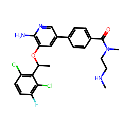 CNCCN(C)C(=O)c1ccc(-c2cnc(N)c(OC(C)c3c(Cl)ccc(F)c3Cl)c2)cc1